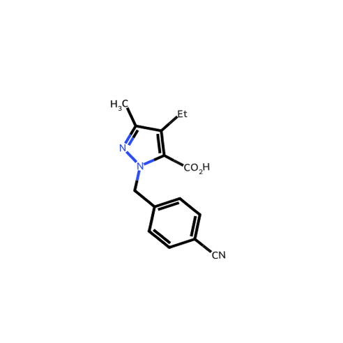 CCc1c(C)nn(Cc2ccc(C#N)cc2)c1C(=O)O